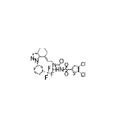 O=C(NCC=C1CCCc2cnn(-c3cccc(C(F)(F)F)c3)c21)NS(=O)(=O)c1cc(Cl)c(Cl)s1